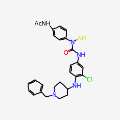 CC(=O)Nc1ccc(N(S)C(=O)Nc2ccc(NC3CCN(Cc4ccccc4)CC3)c(Cl)c2)cc1